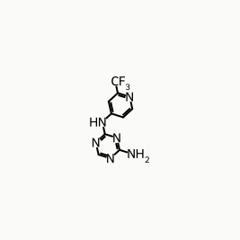 Nc1ncnc(Nc2ccnc(C(F)(F)F)c2)n1